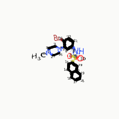 CN1CCN(c2cc(NS(=O)(=O)c3ccc4ccccc4c3)ccc2Br)CC1